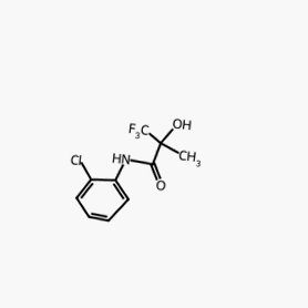 CC(O)(C(=O)Nc1ccccc1Cl)C(F)(F)F